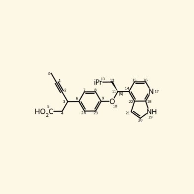 CC#CC(CC(=O)O)c1ccc(O[C@@H](CC(C)C)c2ccnc3[nH]ccc23)cc1